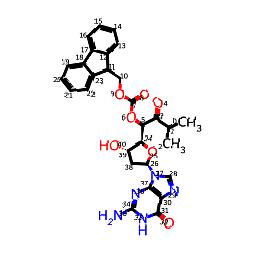 CC(C)C(=O)C(OC(=O)OCC1c2ccccc2-c2ccccc21)[C@H]1O[C@@H](n2cnc3c(=O)[nH]c(N)nc32)C[C@@H]1O